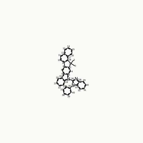 CC1(C)c2cc3c(cc2-c2ccc4ccccc4c21)c1ccccc1n3-c1nc2ccccc2n1-c1ccccc1